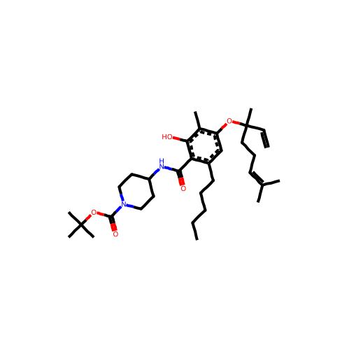 C=CC(C)(CCC=C(C)C)Oc1cc(CCCCC)c(C(=O)NC2CCN(C(=O)OC(C)(C)C)CC2)c(O)c1C